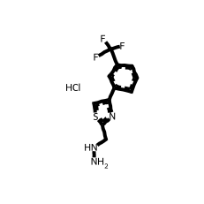 Cl.NNCc1nc(-c2cccc(C(F)(F)F)c2)cs1